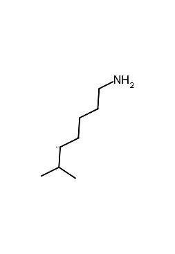 CC(C)[CH]CCCCN